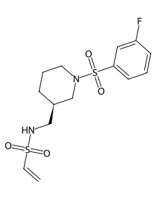 C=CS(=O)(=O)NC[C@H]1CCCN(S(=O)(=O)c2cccc(F)c2)C1